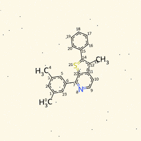 Cc1cc(C)cc(-c2nccc3c(C)c(-c4ccccc4)sc23)c1